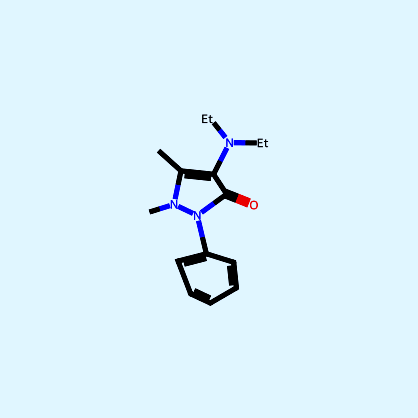 CCN(CC)c1c(C)n(C)n(-c2ccccc2)c1=O